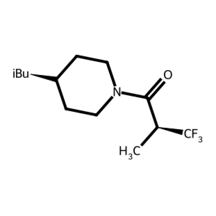 CC[C@H](C)C1CCN(C(=O)[C@H](C)C(F)(F)F)CC1